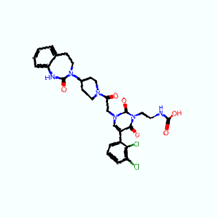 O=C(O)NCCn1c(=O)c(-c2cccc(Cl)c2Cl)cn(CC(=O)N2CCC(N3CCc4ccccc4NC3=O)CC2)c1=O